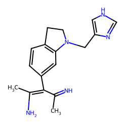 CC(=N)/C(=C(/C)N)c1ccc2c(c1)N(Cc1c[nH]cn1)CC2